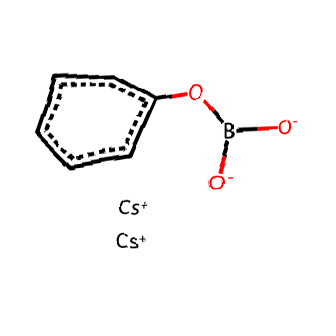 [Cs+].[Cs+].[O-]B([O-])Oc1ccccc1